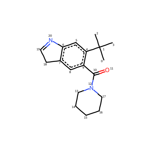 CC(C)(C)c1cc2c(cc1C(=O)N1CCCCC1)CC=N2